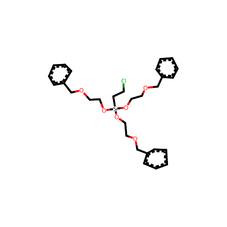 ClCC[Si](OCCOCc1ccccc1)(OCCOCc1ccccc1)OCCOCc1ccccc1